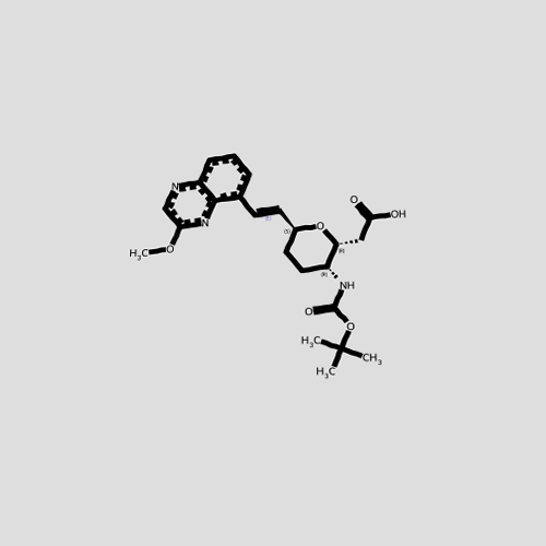 COc1cnc2cccc(/C=C/[C@@H]3CC[C@@H](NC(=O)OC(C)(C)C)[C@@H](CC(=O)O)O3)c2n1